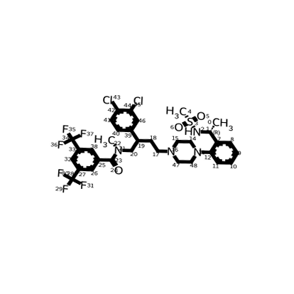 C[C@@H](NS(C)(=O)=O)c1ccccc1N1CCN(CCC(CN(C)C(=O)c2cc(C(F)(F)F)cc(C(F)(F)F)c2)c2ccc(Cl)c(Cl)c2)CC1